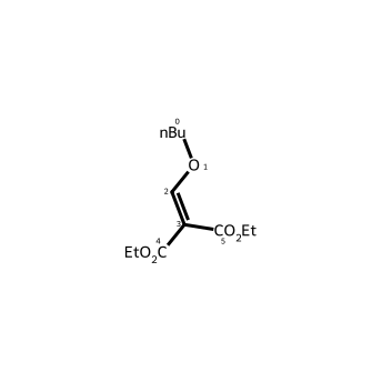 CCCCOC=C(C(=O)OCC)C(=O)OCC